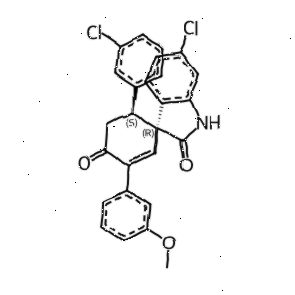 COc1cccc(C2=C[C@]3(C(=O)Nc4cc(Cl)ccc43)[C@H](c3cccc(Cl)c3)CC2=O)c1